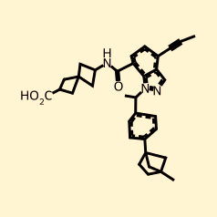 CC#Cc1ccc(C(=O)NC2CC3(C2)CC(C(=O)O)C3)c2c1cnn2C(C)c1ccc(C23CCC(C)(C2)C3)cc1